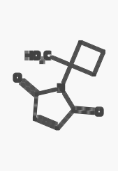 O=C1C=CC(=O)N1C1(C(=O)O)CCC1